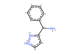 N[C](c1ccccc1)c1cc[nH]n1